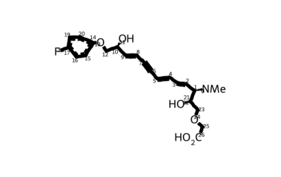 CN[C@H](/C=C/C=C/C#C/C=C/[C@H](O)COc1ccc(F)cc1)[C@H](O)COCC(=O)O